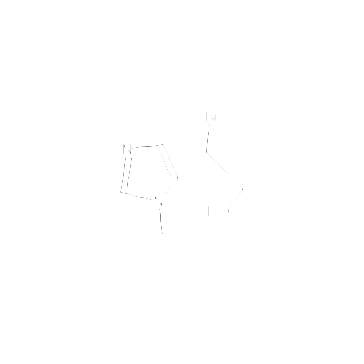 Cn1ccnc1.OCCBr